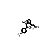 CC1=CCC(C(C)CC2CCCC2=CCCBr)CC1.[MgH2]